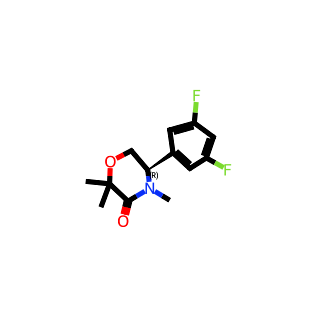 CN1C(=O)C(C)(C)OC[C@H]1c1cc(F)cc(F)c1